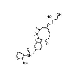 C=C1/C=C(OC[C@H](O)CO)\C=C/CC(=O)c2c(oc3cc(OC(=O)Nc4ccccc4C(C)(C)C)ccc23)C1(C)C